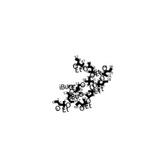 C=CC(=O)C(C)(CC)OC(C)CC(C)(CC)OCC(COCC(COC(C)(CC)CC(C)OC(C)(CC)C(=O)C=C)(COC(C)(CC)CC(C)OC(C)(CC)C(=O)C=C)COC(C)(CC)CC(C)OC(C)(CC)C(=O)C=C)(COC(C)CC)COC(C)CC